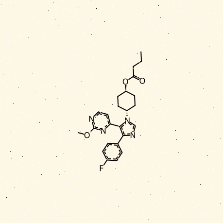 CCCC(=O)O[C@H]1CC[C@H](n2cnc(-c3ccc(F)cc3)c2-c2ccnc(OC)n2)CC1